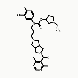 Cc1ccc(N(CCCN2CC3CN(C(=O)c4c(C)ncnc4C)CC3C2)C(=O)OC2CCN(CC(F)(F)F)C2)cc1Cl